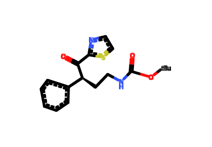 CC(C)(C)OC(=O)NCC[C@H](C(=O)c1nccs1)c1ccccc1